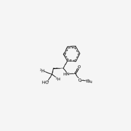 [2H]C([2H])(O)C[C@H](NC(=O)OC(C)(C)C)c1ccccc1